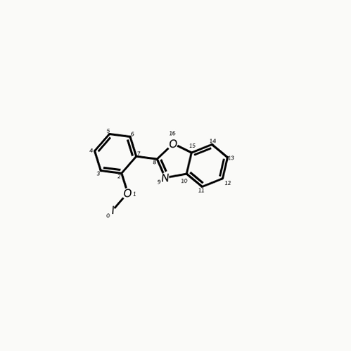 IOc1ccccc1-c1nc2ccccc2o1